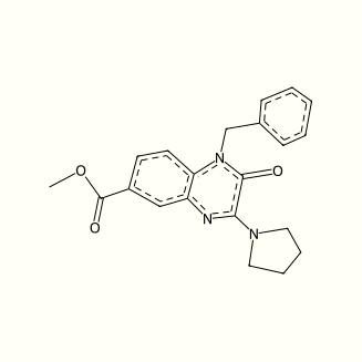 COC(=O)c1ccc2c(c1)nc(N1CCCC1)c(=O)n2Cc1ccccc1